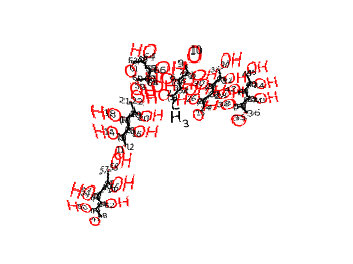 C[C@H](O)[C@H](O)[C@@H](O)[C@@H](O)C=O.O=C[C@@H](O)[C@@H](O)[C@H](O)[C@H](O)CO.O=C[C@H](O)[C@@H](O)[C@@H](O)[C@H](O)CO.O=C[C@H](O)[C@@H](O)[C@@H](O)[C@H](O)CO.O=C[C@H](O)[C@@H](O)[C@H](O)[C@H](O)CO.OC1OC[C@@H](O)[C@H](O)[C@H]1O